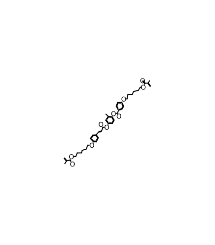 C=C(C)C(=O)OCCCCCCOc1ccc(/C=C/C(=O)Oc2ccc(OC(=O)c3ccc(OCCCCCCOC(=O)C(=C)C)cc3)c(C)c2)cc1